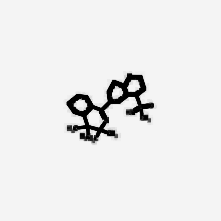 CC1(C)N=C(c2ccc3nccc(S(C)(=N)=O)c3c2)c2ccccc2C1(C)C